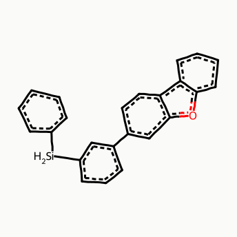 c1ccc([SiH2]c2cccc(-c3ccc4c(c3)oc3ccccc34)c2)cc1